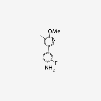 COc1ncc(-c2ccc(N)c(F)c2)cc1C